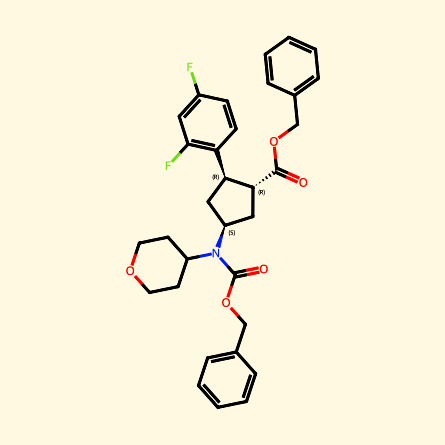 O=C(OCc1ccccc1)[C@@H]1C[C@@H](N(C(=O)OCc2ccccc2)C2CCOCC2)C[C@H]1c1ccc(F)cc1F